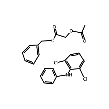 CC(=O)OCC(=O)OCc1ccccc1.Clc1cccc(Cl)c1Nc1ccccc1